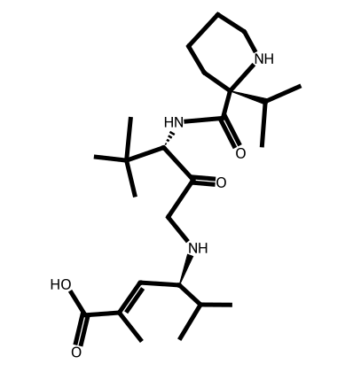 C/C(=C\[C@@H](NCC(=O)[C@@H](NC(=O)[C@]1(C(C)C)CCCCN1)C(C)(C)C)C(C)C)C(=O)O